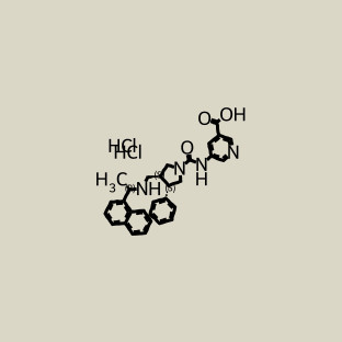 C[C@@H](NC[C@H]1CN(C(=O)Nc2cncc(C(=O)O)c2)C[C@@H]1c1ccccc1)c1cccc2ccccc12.Cl.Cl